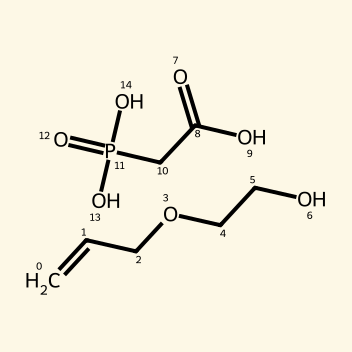 C=CCOCCO.O=C(O)CP(=O)(O)O